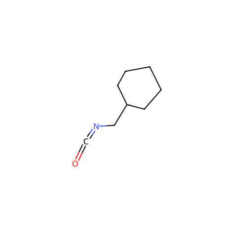 O=C=NC[C]1CCCCC1